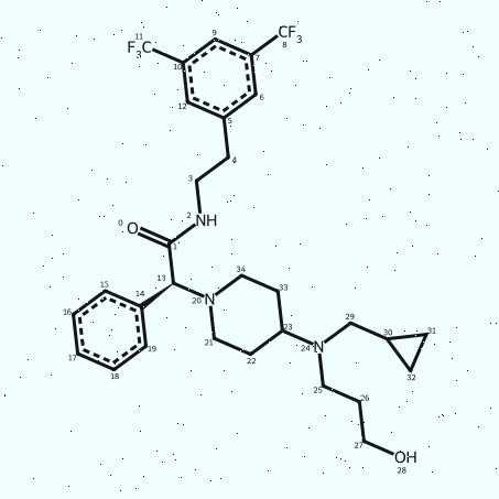 O=C(NCCc1cc(C(F)(F)F)cc(C(F)(F)F)c1)[C@H](c1ccccc1)N1CCC(N(CCCO)CC2CC2)CC1